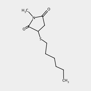 CCCCCCSC1CC(=O)N(C)C1=O